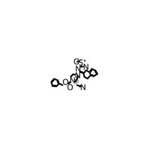 C[S+]([O-])c1nc2c(c(N3CCN(C(=O)OCc4ccccc4)[C@@H](CC#N)C3)n1)CCc1ccccc1-2